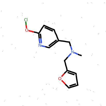 CN(Cc1ccc(OCl)nc1)Cc1ccco1